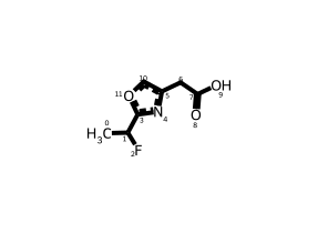 CC(F)c1nc(CC(=O)O)co1